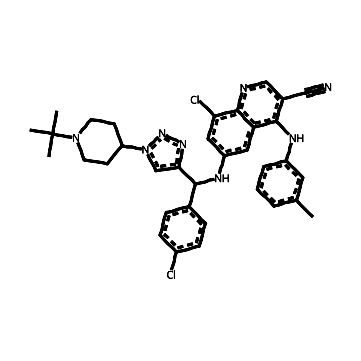 Cc1cccc(Nc2c(C#N)cnc3c(Cl)cc(NC(c4ccc(Cl)cc4)c4cn(C5CCN(C(C)(C)C)CC5)nn4)cc23)c1